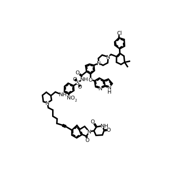 CC1(C)CCC(CN2CCN(c3ccc(C(=O)NS(=O)(=O)c4ccc(NCC5CCCN(CCCCCC#Cc6ccc7c(c6)CN(C6CCC(=O)NC6=O)C7=O)C5)c([N+](=O)[O-])c4)c(Oc4cnc5[nH]ccc5c4)c3)CC2)=C(c2ccc(Cl)cc2)C1